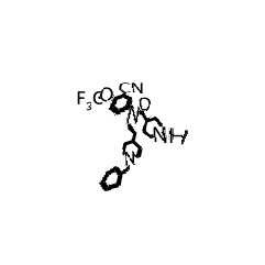 N#Cc1cc(N(CCC2CCN(Cc3ccccc3)CC2)C(=O)C2CCNCC2)ccc1OC(F)(F)F